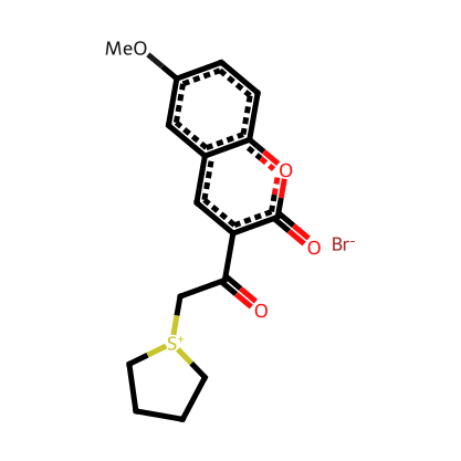 COc1ccc2oc(=O)c(C(=O)C[S+]3CCCC3)cc2c1.[Br-]